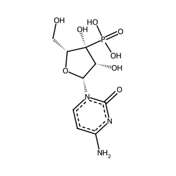 Nc1ccn([C@@H]2O[C@H](CO)[C@@](O)(P(=O)(O)O)[C@@H]2O)c(=O)n1